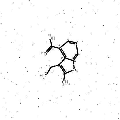 CCc1c(C)oc2cccc(C(=O)O)c12